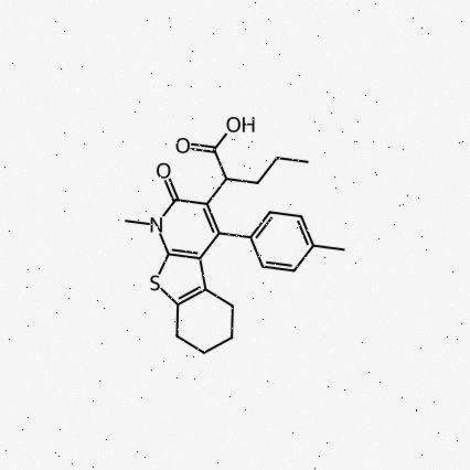 CCCC(C(=O)O)c1c(-c2ccc(C)cc2)c2c3c(sc2n(C)c1=O)CCCC3